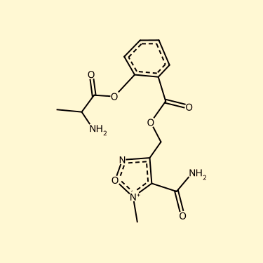 CC(N)C(=O)Oc1ccccc1C(=O)OCc1no[n+](C)c1C(N)=O